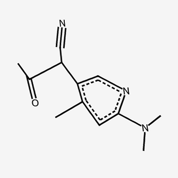 CC(=O)C(C#N)c1cnc(N(C)C)cc1C